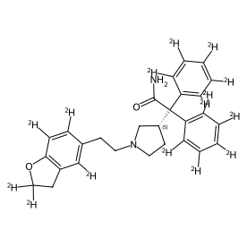 [2H]c1c([2H])c([2H])c(C(C(N)=O)(c2c([2H])c([2H])c([2H])c([2H])c2[2H])[C@@H]2CCN(CCc3c([2H])c([2H])c4c(c3[2H])CC([2H])([2H])O4)C2)c([2H])c1[2H]